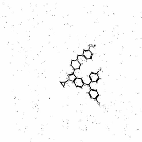 O=C(O)c1cccc(CN2CCC(c3nn(C4CC4)c4ccc(C(c5ccc(Cl)cc5)c5ccc(C(F)(F)F)cc5)cc34)CC2)c1